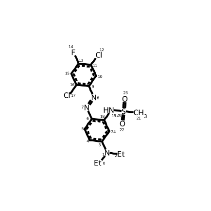 CCN(CC)c1ccc(N=Nc2cc(Cl)c(F)cc2Cl)c(NS(C)(=O)=O)c1